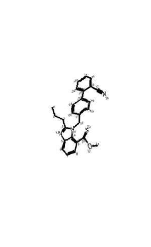 CCCc1nc2cccc(C(=S)OC)c2n1Cc1ccc(-c2ccccc2C#N)cc1